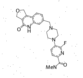 CNC(=O)c1ccc(N2CCN(Cc3ccc4c5c(c(=O)[nH]c4c3)COC5)CC2)c(F)n1